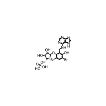 O=P(O)(O)OC[C@H]1OC(Oc2c(Br)cc(Br)c(O)c2CNc2ncnc3nc[nH]c23)[C@H](O)[C@@H]1O